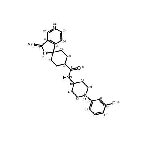 O=C1OC2(CCC(C(=O)NC3CCN(c4cccc(F)c4)CC3)CC2)c2ccncc21